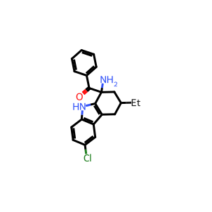 CCC1Cc2c([nH]c3ccc(Cl)cc23)C(N)(C(=O)c2ccccc2)C1